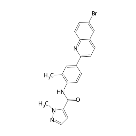 Cc1cc(-c2ccc3cc(Br)ccc3n2)ccc1NC(=O)c1ccnn1C